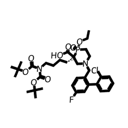 CCOP1(=O)CCN(Cc2ccc(F)cc2-c2ccccc2Cl)C[C@@]1(CCCCN(C(=O)OC(C)(C)C)C(=O)OC(C)(C)C)C(=O)O